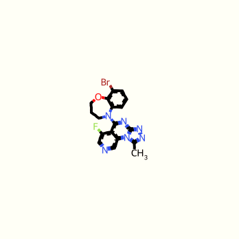 Cc1nnc2nc(N3CCCOc4c(Br)cccc43)c3c(F)cncc3n12